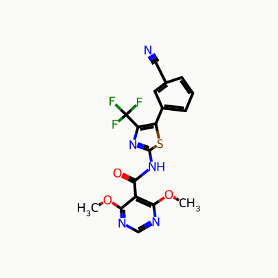 COc1ncnc(OC)c1C(=O)Nc1nc(C(F)(F)F)c(-c2cccc(C#N)c2)s1